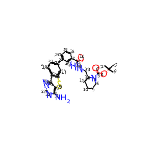 CC(C)(C)OC(=O)N1CCCCC1CNC(=O)c1cccc(-c2ccc3c(c2)sc2c(N)ncnc23)c1